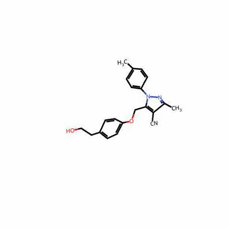 Cc1ccc(-n2nc(C)c(C#N)c2COc2ccc(CCO)cc2)cc1